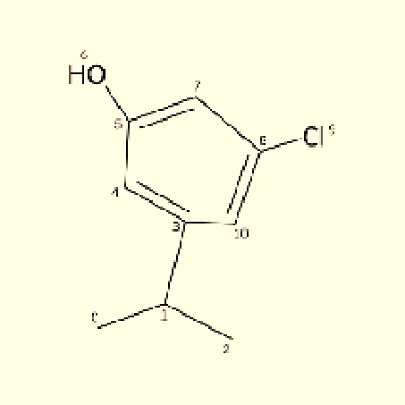 CC(C)c1cc(O)cc(Cl)c1